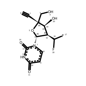 C#C[C@]1(CO)O[C@@H](n2ccc(=O)[nH]c2=O)[C@H](C(F)F)[C@@H]1O